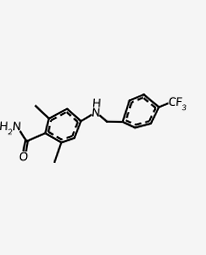 Cc1cc(NCc2ccc(C(F)(F)F)cc2)cc(C)c1C(N)=O